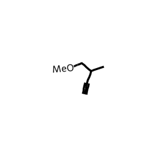 C#CC(C)CO[CH2]